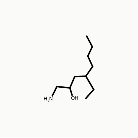 CCCCC(CC)CC(O)CN